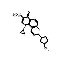 CCOC(=O)c1cn(C2CC2)c2c(/C=C\C[C@H]3CC[C@@H](C)C3)c(F)ccc2c1=O